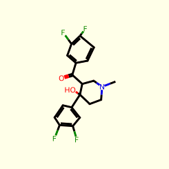 CN1CCC(O)(c2ccc(F)c(F)c2)C(C(=O)c2ccc(F)c(F)c2)C1